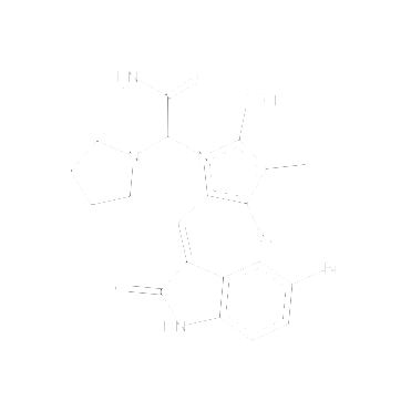 CC(=O)c1c(C)c(C(=O)O)n(C(C(N)=O)N2CCCC2)c1C=C1C(=O)Nc2ccc(Br)cc21